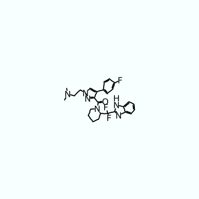 CN(C)CCn1cc(-c2ccc(F)cc2)c(C(=O)N2CCCCC2C(F)(F)c2nc3ccccc3[nH]2)n1